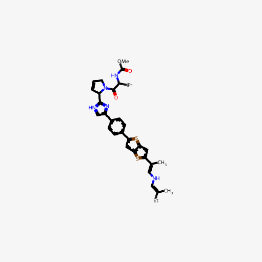 CC/C(C)=C/N/C=C(\C)c1cc2sc(-c3ccc(-c4c[nH]c(C5C=CCN5C(=O)C(NC(=O)OC)C(C)C)n4)cc3)cc2s1